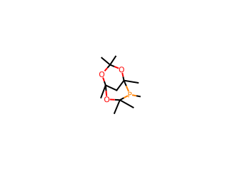 CP1C(C)(C)OC2(C)CC1(C)OC(C)(C)O2